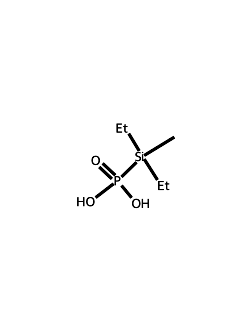 CC[Si](C)(CC)P(=O)(O)O